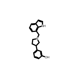 Oc1cccc(C2CCN(Cc3cccc4cc[nH]c34)C2)c1